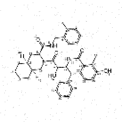 Cc1ccccc1CNC(=O)[C@@H]1C[C@@H]2CCCC[C@@H]2CN1C(=O)C(O)C(Cc1ccccc1)NC(=O)c1cccc(O)c1C